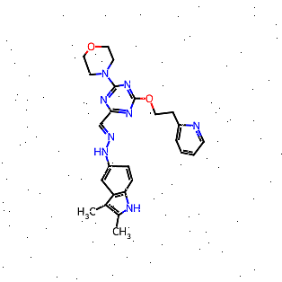 Cc1[nH]c2ccc(N/N=C/c3nc(OCCc4ccccn4)nc(N4CCOCC4)n3)cc2c1C